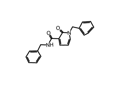 O=C(NCc1ccccc1)c1cccn(Cc2ccccc2)c1=O